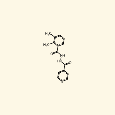 Cc1cccc(C(=O)NNC(=O)c2ccncc2)c1C